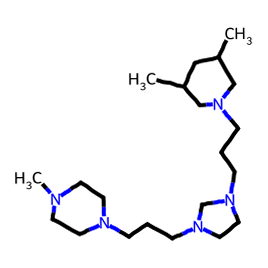 CC1CC(C)CN(CCCN2CCN(CCCN3CCN(C)CC3)C2)C1